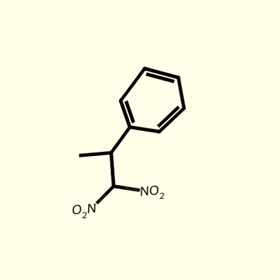 CC(c1ccccc1)C([N+](=O)[O-])[N+](=O)[O-]